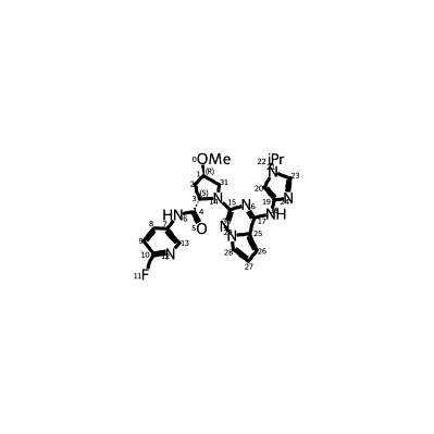 CO[C@@H]1C[C@@H](C(=O)Nc2ccc(F)nc2)N(c2nc(Nc3cn(C(C)C)cn3)c3cccn3n2)C1